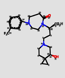 O=C(O)[C@@H](CCN1CCC2(CC2)[C@H](O)C1)N1CCN(c2cccc(C(F)(F)F)c2)CCC1=O